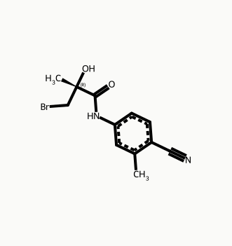 Cc1cc(NC(=O)[C@@](C)(O)CBr)ccc1C#N